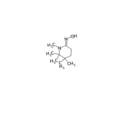 CN1C(=NO)CCC(C)(C)C1(C)C